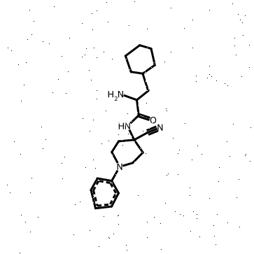 N#CC1(NC(=O)C(N)CC2CCCCC2)CCN(c2ccccc2)CC1